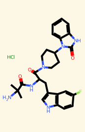 CC(C)(N)C(=O)NC(Cc1c[nH]c2ccc(F)cc12)C(=O)N1CCC(n2c(=O)[nH]c3ccccc32)CC1.Cl